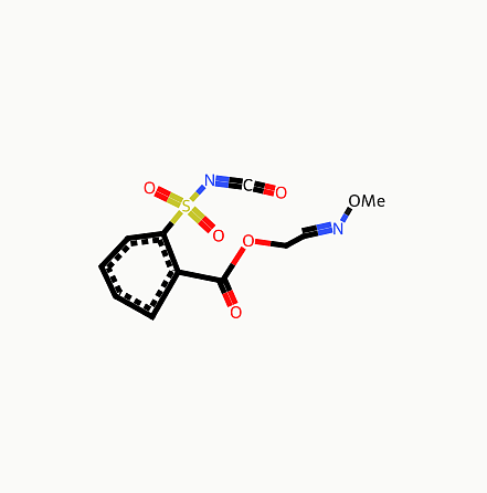 CON=CCOC(=O)c1ccccc1S(=O)(=O)N=C=O